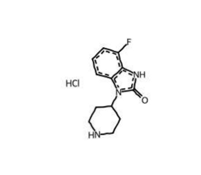 Cl.O=c1[nH]c2c(F)cccc2n1C1CCNCC1